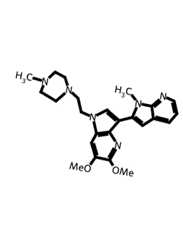 COc1cc2c(nc1OC)c(-c1cc3cccnc3n1C)cn2CCN1CCN(C)CC1